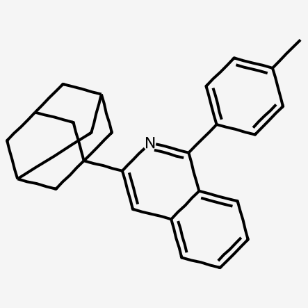 Cc1ccc(-c2nc(C34CC5CC(CC(C5)C3)C4)cc3ccccc23)cc1